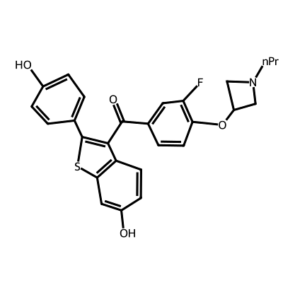 CCCN1CC(Oc2ccc(C(=O)c3c(-c4ccc(O)cc4)sc4cc(O)ccc34)cc2F)C1